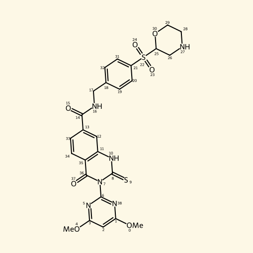 COc1cc(OC)nc(-n2c(=S)[nH]c3cc(C(=O)NCc4ccc(S(=O)(=O)C5CNCCO5)cc4)ccc3c2=O)n1